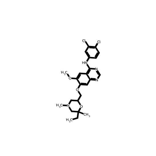 CCC1(C)CN(C)CC(COc2cc3ncnc(Nc4ccc(Cl)c(Cl)c4)c3cc2OC)O1